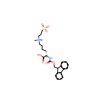 C[N+](C)(CCCC[C@H](NC(=O)OCC1c2ccccc2-c2ccccc21)C(=O)O)CCCS(=O)(=O)[O-]